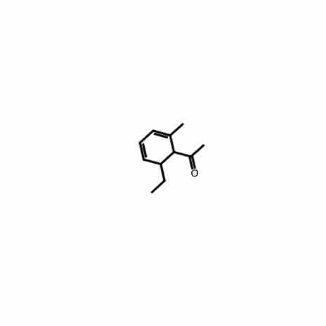 CCC1C=CC=C(C)C1C(C)=O